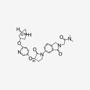 CN(C)C(=O)CN1Cc2ccc(N3CC[C@@H](Oc4ccc(OC5C[C@@H]6C[C@@H]6C5)nc4)C3=O)cc2C1=O